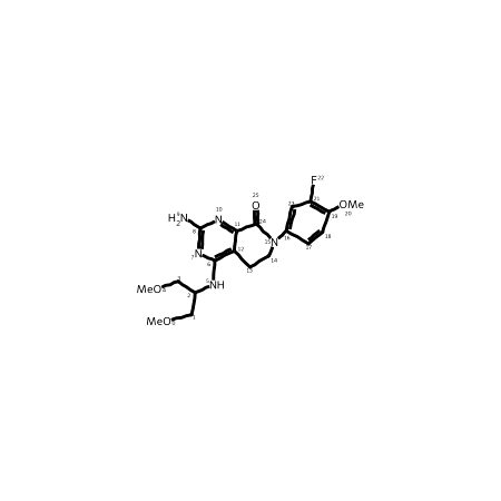 COCC(COC)Nc1nc(N)nc2c1CCN(c1ccc(OC)c(F)c1)C2=O